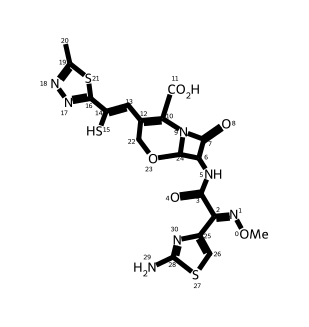 CON=C(C(=O)NC1C(=O)N2C(C(=O)O)=C(C=C(S)c3nnc(C)s3)COC12)c1csc(N)n1